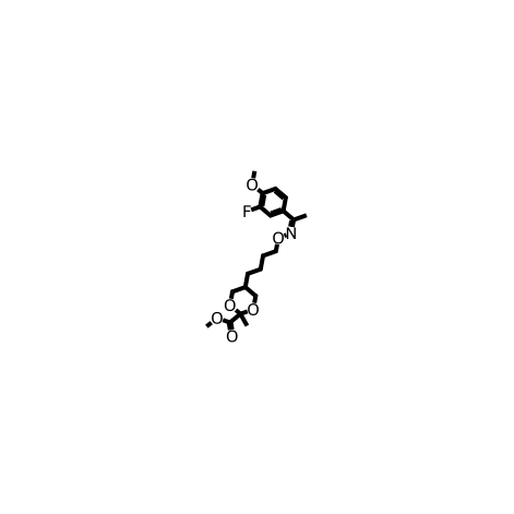 COC(=O)C1(C)OCC(CCCCON=C(C)c2ccc(OC)c(F)c2)CO1